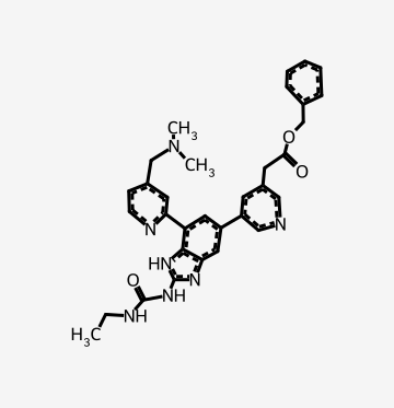 CCNC(=O)Nc1nc2cc(-c3cncc(CC(=O)OCc4ccccc4)c3)cc(-c3cc(CN(C)C)ccn3)c2[nH]1